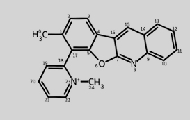 Cc1ccc2c(oc3nc4ccccc4cc32)c1-c1cccc[n+]1C